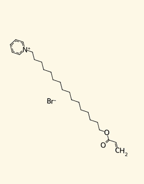 C=CC(=O)OCCCCCCCCCCCCCCCC[n+]1ccccc1.[Br-]